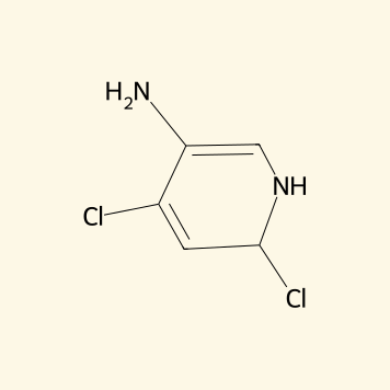 NC1=CNC(Cl)C=C1Cl